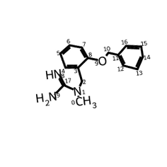 CN(Cc1ccccc1OCc1ccccc1)C(=N)N